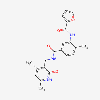 Cc1cc(C)c(CNC(=O)c2ccc(C)c(NC(=O)c3ccco3)c2)c(=O)[nH]1